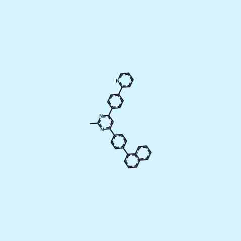 Cc1nc(-c2ccc(-c3ccccn3)cc2)cc(-c2ccc(-c3cccc4ccccc34)cc2)n1